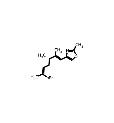 CCC/C(C)=C\C[C@H](C)/C(C)=C/c1csc(C)n1